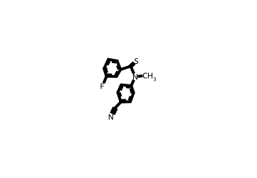 CN(C(=S)c1cccc(F)c1)c1ccc(C#N)cc1